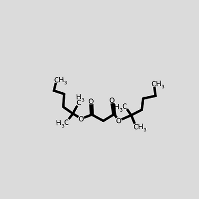 CCCCC(C)(C)OC(=O)CC(=O)OC(C)(C)CCCC